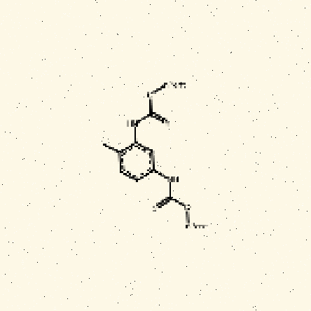 CCCCCOC(=S)Nc1ccc(C)c(NC(=S)OCCCCC)c1